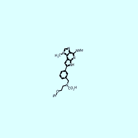 CNc1nc2[nH]c(-c3cccc(CN(CCOC(C)C)C(=O)O)c3)cc2c2c1ncn2C